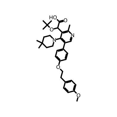 COc1ccc(CCOc2ccc(-c3cnc(C)c(C(OC(C)(C)C)C(=O)O)c3N3CCC(C)(C)CC3)cc2)cc1